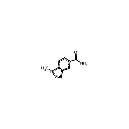 Cn1ncc2cc(C(N)=O)ccc21